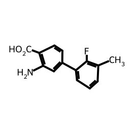 Cc1cccc(-c2ccc(C(=O)O)c(N)c2)c1F